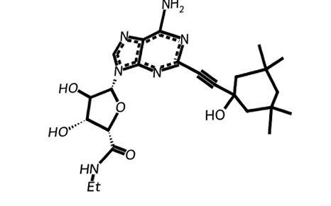 CCNC(=O)[C@H]1O[C@@H](n2cnc3c(N)nc(C#CC4(O)CC(C)(C)CC(C)(C)C4)nc32)C(O)[C@H]1O